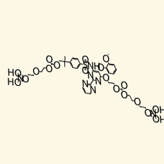 COc1ccccc1Oc1c(NS(=O)(=O)c2ccc(C(C)(C)COC(=O)OCCOCCON(O)O)cc2)nc(-c2ncccn2)nc1OCCOC(=O)OCCOCCON(O)O